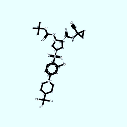 CC(C)(C)OC(=O)ON1C[C@H](S(=O)(=O)c2ccc(N3CCC(C(F)(F)F)CC3)cc2Cl)C[C@H]1C(=O)NC1(C#N)CC1